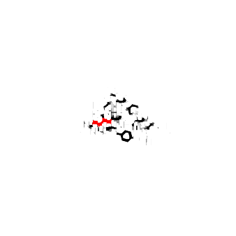 CC(C)C[C@H](C(=O)N[C@H](C)C(N)=O)N1C[C@@H](NC(=O)[C@@H](CCC(=O)O)NC(=O)[C@H](NC(=O)[C@H](NC(=O)[C@@H](Cc2ccc(O)cc2)NC(=O)[C@H](N)CCCNC(=N)N)[C@@H](C)O)C(C)C)CCO1